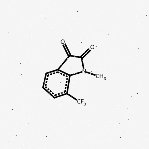 CN1C(=O)C(=O)c2cccc(C(F)(F)F)c21